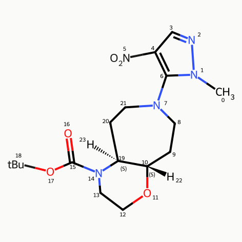 Cn1ncc([N+](=O)[O-])c1N1CC[C@@H]2OCCN(C(=O)OC(C)(C)C)[C@H]2CC1